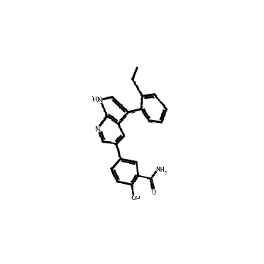 CCc1ccccc1-c1c[nH]c2ncc(-c3ccc(O)c(C(N)=O)c3)cc12